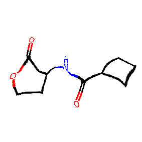 O=C(NC1CCOC1=O)C1CCC1